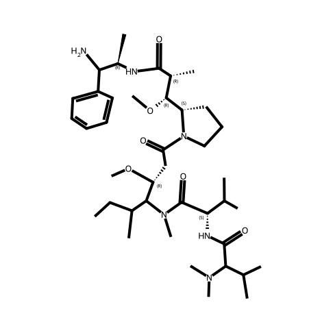 CCC(C)C([C@@H](CC(=O)N1CCC[C@H]1[C@H](OC)[C@@H](C)C(=O)N[C@H](C)C(N)c1ccccc1)OC)N(C)C(=O)[C@@H](NC(=O)C(C(C)C)N(C)C)C(C)C